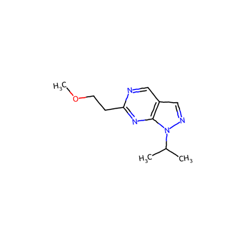 COCCc1ncc2cnn(C(C)C)c2n1